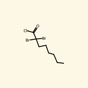 CCCCCCC(Br)(Br)C(=O)Cl